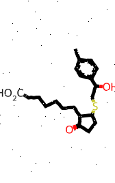 Cc1ccc(C(O)CSC2CCC(=O)C2CCCCCCC(=O)O)cc1